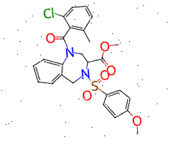 COC(=O)C1CN(C(=O)c2c(C)cccc2Cl)c2ccccc2CN1S(=O)(=O)c1ccc(OC)cc1